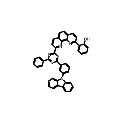 Oc1ccccc1-c1ccc2ccc3ccc(-c4nc(-c5ccccc5)nc(-c5cccc(-n6c7ccccc7c7ccccc76)c5)n4)nc3c2n1